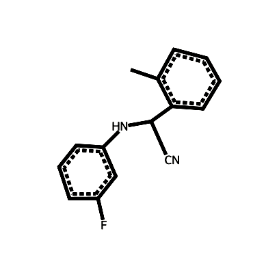 Cc1ccccc1C(C#N)Nc1cccc(F)c1